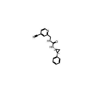 N#Cc1ccnc(CNC(=O)N[C@@H]2C[C@H]2c2ccccc2)c1